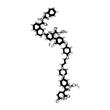 Cn1nc(C2CCC(=O)NC2=O)c2ccc(N3CCN(CCCOC4CCC(Oc5ccc(-c6ccc(N7CCc8cccc(C(=O)Nc9nc%10ccccc%10s9)c8C7)nc6C(=O)OC(C)(C)C)c(C(F)(F)F)c5)CC4)CC3)cc21